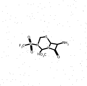 NC1C(=O)N2C1SCN(S(=O)(=O)C(F)(F)F)C2C(=O)O